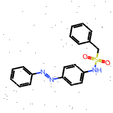 O=S(=O)(Cc1ccccc1)Nc1ccc(N=Nc2ccccc2)cc1